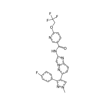 Cn1cc(-c2ccc3nc(NC(=O)c4ccc(OCC(F)(F)F)nc4)cn3n2)c(-c2ccc(F)cc2)n1